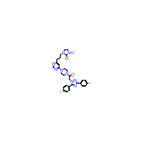 O=C(Cn1nc(-c2ccc(F)cc2)nc1-c1ccc(F)cc1)N1CCN(c2cc(CCCN3CCNC3=O)ncn2)CC1